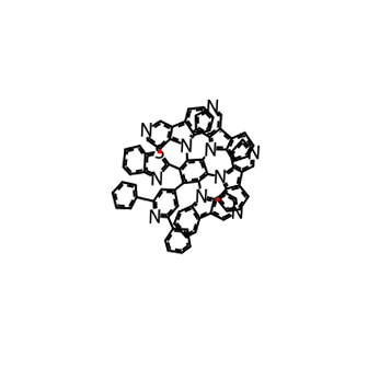 c1ccc(-c2cc(-c3c(-c4nc5ccccc5s4)c(-n4c5ccccc5c5cnccc54)c(-n4c5ccccc5c5cnccc54)c(-n4c5ccccc5c5cnccc54)c3-n3c4ccccc4c4cnccc43)cc(-c3ccccc3)n2)cc1